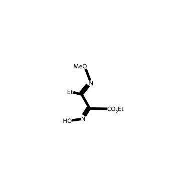 CCOC(=O)C(=NO)C(CC)=NOC